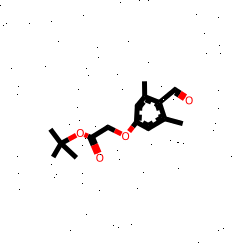 Cc1cc(OCC(=O)OC(C)(C)C)cc(C)c1C=O